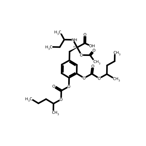 CCCC(C)OC(=O)Oc1ccc(C[C@](NC(C)CC)(OC(C)=O)C(=O)O)cc1OC(=O)OC(C)CCC